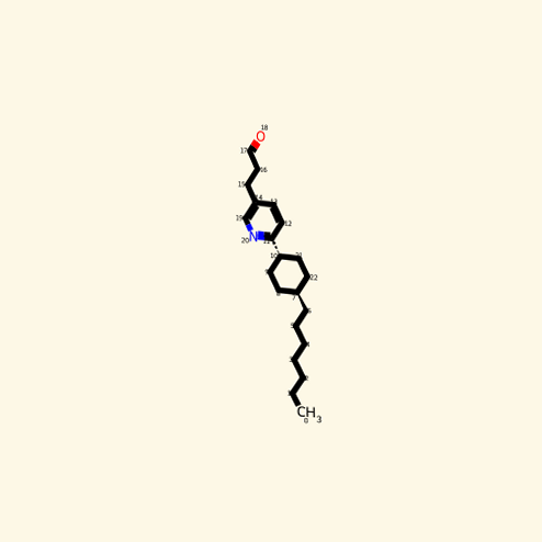 CCCCCCC[C@H]1CC[C@H](c2ccc(CCC=O)cn2)CC1